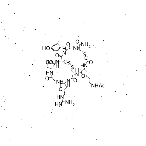 CC(=O)NCCCCC1NC(=O)CSCC(C(N)=O)NC(=O)C(Cc2ccc(O)cc2)NC(=O)C2CSSCC(NC1=O)C(=O)NC(CCCNC(=N)N)C(=O)NCC(=O)NC(CC(=O)O)C(=O)N2